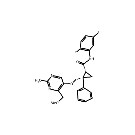 COCc1nc(C)ncc1OC[C@@]1(c2ccccc2)C[C@H]1C(=O)Nc1cc(F)ccc1F